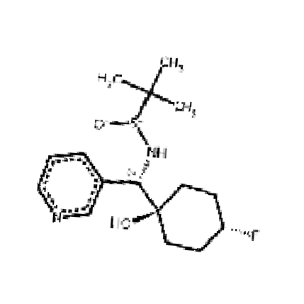 CC(C)(C)[S+]([O-])N[C@@H](c1cccnc1)[C@]1(O)CC[C@H](F)CC1